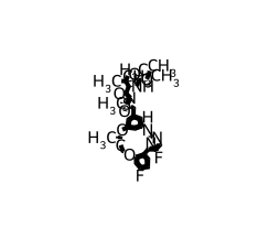 CC(C)[C@H](NC(=O)OC(C)(C)C)C(=O)N=[S@](C)(=O)Cc1cc2cc(c1)O[C@H](C)CCOc1cc(F)ccc1-c1nc(ncc1F)N2